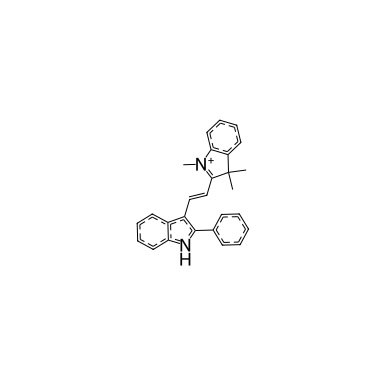 C[N+]1=C(/C=C/c2c(-c3ccccc3)[nH]c3ccccc23)C(C)(C)c2ccccc21